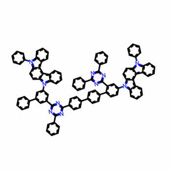 c1ccc(-c2cc(-c3nc(-c4ccccc4)nc(-c4ccc(-c5ccc(-c6ccc(-n7c8ccccc8c8c9c%10ccccc%10n(-c%10ccccc%10)c9ccc87)cc6-c6nc(-c7ccccc7)nc(-c7ccccc7)n6)cc5)cc4)n3)cc(-n3c4ccccc4c4c5c6ccccc6n(-c6ccccc6)c5ccc43)c2)cc1